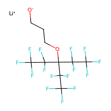 [Li+].[O-]CCCOC(C(F)(F)C(F)(F)F)(C(F)(F)C(F)(F)F)C(F)(F)C(F)(F)F